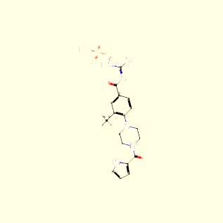 CS(=O)(=O)ONC(N)=NC(=O)c1ccc(N2CCN(C(=O)c3ccc[nH]3)CC2)c(C(F)(F)F)c1